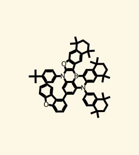 CC(C)(C)c1ccc(N2c3cc(-c4cccc5oc6ccccc6c45)cc4c3B(c3cc5c(cc3N4c3ccc4c(c3)C(C)(C)CCC4(C)C)C(C)(C)CCC5(C)C)c3c2oc2cc4c(cc32)C(C)(C)CCC4(C)C)cc1